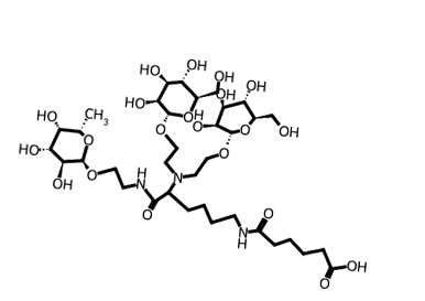 C[C@@H]1O[C@@H](OCCNC(=O)C(CCCCNC(=O)CCCCC(=O)O)N(CCO[C@H]2O[C@H](CO)[C@@H](O)[C@H](O)[C@@H]2O)CCO[C@H]2O[C@H](CO)[C@@H](O)[C@H](O)[C@@H]2O)[C@@H](O)[C@H](O)[C@@H]1O